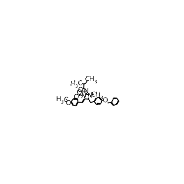 CCC(C)C(=O)/N=C1\N(C(=O)O)/C(=C\c2ccc(OC)cc2)C(Cc2ccc(OCc3ccccc3)cc2)N1C